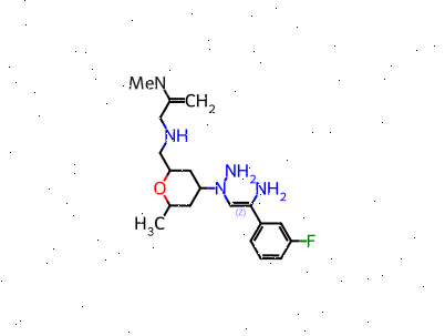 C=C(CNCC1CC(N(N)/C=C(\N)c2cccc(F)c2)CC(C)O1)NC